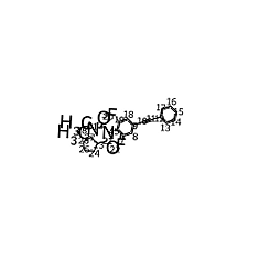 CN1C(=O)N(c2c(F)cc(C#Cc3ccccc3)cc2F)C(=O)C2CCCC21C